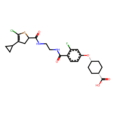 O=C(NCCNC(=O)C1CC(C2CC2)=C(Cl)S1)c1ccc(O[C@H]2CC[C@@H](C(=O)O)CC2)cc1F